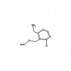 NCc1ccnc(Cl)c1COC=O